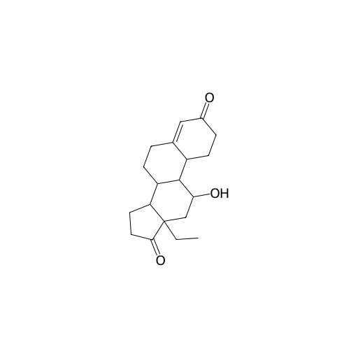 CCC12CC(O)C3C4CCC(=O)C=C4CCC3C1CCC2=O